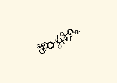 Cc1cc(NC(=O)C(C)(C)NC(=O)c2ccc(Br)s2)ccc1N1CCCS1(=O)=O